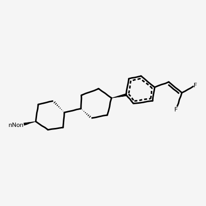 CCCCCCCCC[C@H]1CC[C@H]([C@H]2CC[C@H](c3ccc(C=C(F)F)cc3)CC2)CC1